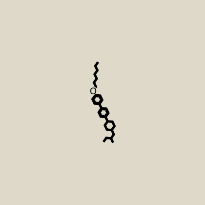 CCCCCCCOc1ccc(-c2ccc(C3CCC(CC(C)CC)CC3)cc2)cc1